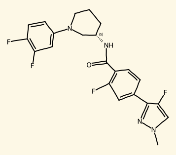 Cn1cc(F)c(-c2ccc(C(=O)N[C@H]3CCCN(c4ccc(F)c(F)c4)C3)c(F)c2)n1